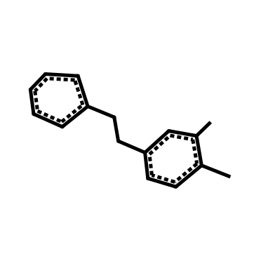 Cc1ccc(CCc2ccccc2)cc1C